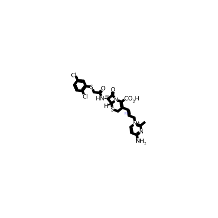 Cc1nc(N)cc[n+]1C/C=C/C1=C(C(=O)O)N2C(=O)[C@@H](NC(=O)CSc3cc(Cl)ccc3Cl)[C@H]2SC1